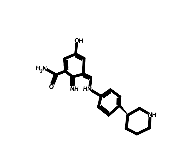 N=C1C(C(N)=O)=CC(O)=C/C1=C/Nc1ccc([C@@H]2CCCNC2)cc1